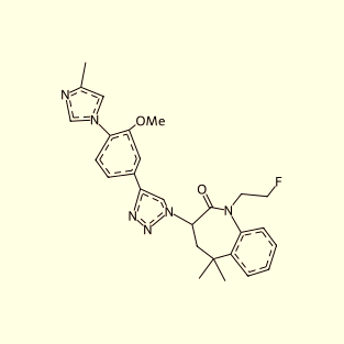 COc1cc(-c2cn(C3CC(C)(C)c4ccccc4N(CCF)C3=O)nn2)ccc1-n1cnc(C)c1